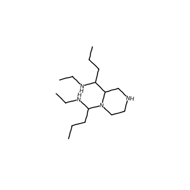 CCCC(NCC)C1CNCCN1C(CCC)NCC